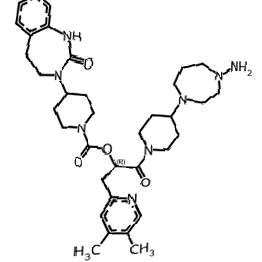 Cc1cnc(C[C@@H](OC(=O)N2CCC(N3CCc4ccccc4NC3=O)CC2)C(=O)N2CCC(N3CCCN(N)CC3)CC2)cc1C